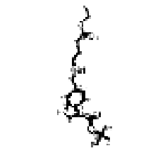 CCOC(=O)CCCNCc1ccc2c(C(=O)OC(C)(C)C)c[nH]c2c1